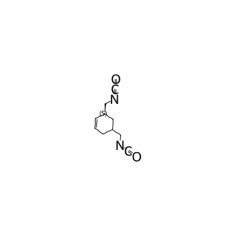 O=C=NCC1CC=C[C@@H](CN=C=O)C1